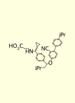 CC(C)CC(Oc1ccc(-c2ccc(C(C)C)cc2)c(C#N)c1)c1ccc(C(NCCC(=O)O)=C2CC2)cc1